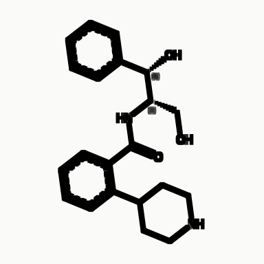 O=C(N[C@@H](CO)[C@@H](O)c1ccccc1)c1ccccc1C1CCNCC1